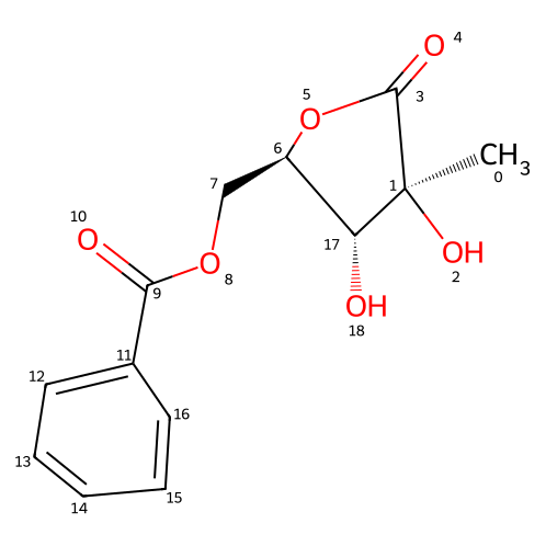 C[C@@]1(O)C(=O)O[C@H](COC(=O)c2ccccc2)[C@H]1O